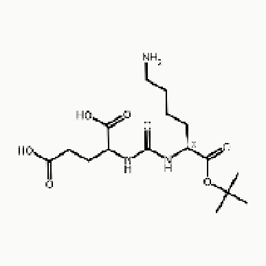 CC(C)(C)OC(=O)[C@H](CCCCN)NC(=O)NC(CCC(=O)O)C(=O)O